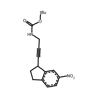 CC(C)(C)OC(=O)NCC#CC1CCc2ccc([N+](=O)[O-])cc21